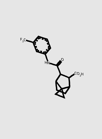 O=C(O)C1C(C(=O)Nc2cccc(C(F)(F)F)c2)C2CCC1C21CC1